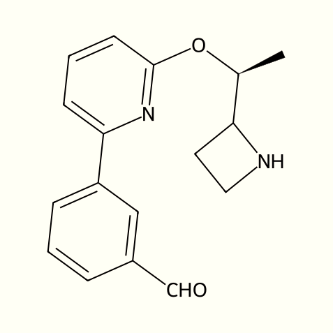 C[C@H](Oc1cccc(-c2cccc(C=O)c2)n1)C1CCN1